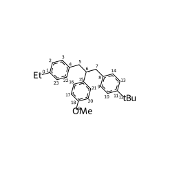 CCc1ccc(C[C](Cc2ccc(C(C)(C)C)cc2)c2ccc(OC)cc2)cc1